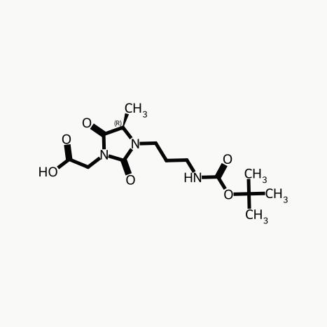 C[C@@H]1C(=O)N(CC(=O)O)C(=O)N1CCCNC(=O)OC(C)(C)C